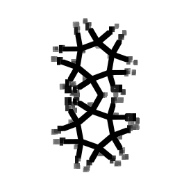 CC1(F)C(F)(F)C(F)(F)C(F)(F)C(F)(F)C1(C)CC1(C)C(C)(F)C(F)(F)C(F)(F)C(F)(F)C1(F)F